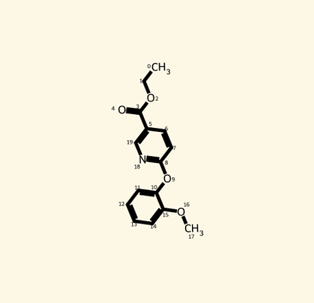 CCOC(=O)c1ccc(Oc2ccccc2OC)nc1